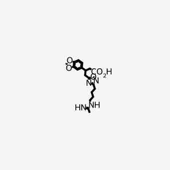 CC(=N)NCCCCc1noc(CC(CC(=O)O)c2ccc3c(c2)OCO3)n1